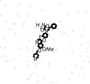 COc1cc2c(Oc3ccc(N(CCc4ccccc4)C(=O)C(N)=O)cc3F)ccnc2cc1OCC1CCN(C)CC1